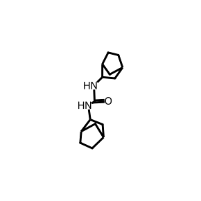 O=C(NC1CC2CCC1C2)NC1CC2CCC1C2